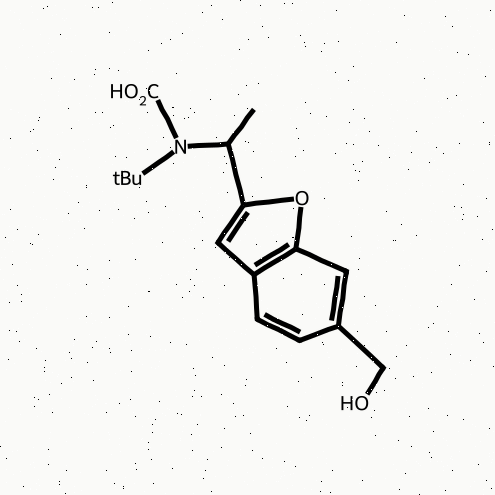 CC(c1cc2ccc(CO)cc2o1)N(C(=O)O)C(C)(C)C